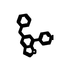 c1ccc(Cc2cc(-c3ccncc3)c3occc3c2)cc1